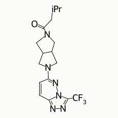 CC(C)CC(=O)N1CC2CN(c3ccc4nnc(C(F)(F)F)n4n3)CC2C1